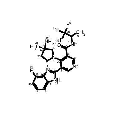 CC(NC(=O)c1cncc(-c2nc3c(F)cccc3[nH]2)c1N1CC[C@](C)(N)C1)C(F)(F)F